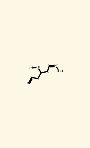 C=CCC(C/C=N\O)OCC